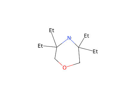 CCC1(CC)COCC(CC)(CC)[N]1